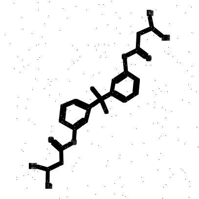 CCC(S)CC(=O)Oc1cccc(C(C)(C)c2cccc(OC(=O)CC(S)CC)c2)c1